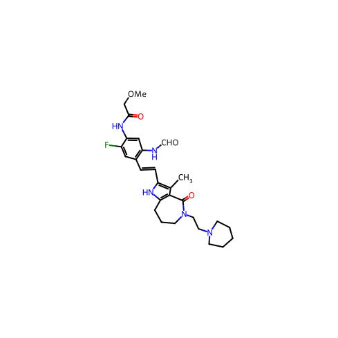 COCC(=O)Nc1cc(NC=O)c(/C=C/c2[nH]c3c(c2C)C(=O)N(CCN2CCCCC2)CCC3)cc1F